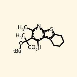 Cc1nc2sc3c(c2c(I)c1C(C)(OC(C)(C)C)C(=O)O)CCCC3